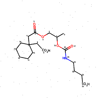 CC(COC(=O)CC1(CC(=O)O)CCCCC1)OC(=O)NCCCS(=O)(=O)O